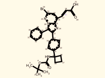 CC(C)(C)OC(=O)NC1(c2ccc(-c3nc4c(/C=C/C(=O)O)cc(Br)nn4c3-c3ccccc3)cc2)CCC1